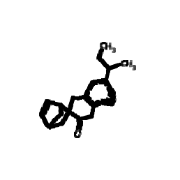 CCC(C)c1ccc2c(c1)CC1(CC3C=CC1C3)C(=O)C2